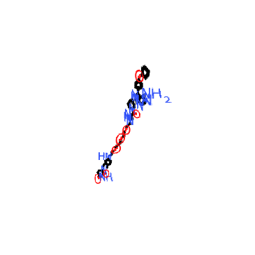 Nc1ncnc2c1c(-c1ccc(Oc3ccccc3)cc1)nn2[C@@H]1CCCN(C(=O)c2cn(CCOCCOCCOCCNc3ccc4c(c3)CN(C3CCC(=O)NC3=O)C4)nn2)C1